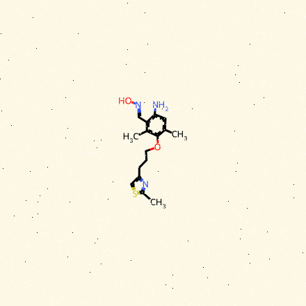 Cc1nc(CCCOc2c(C)cc(N)c(C=NO)c2C)cs1